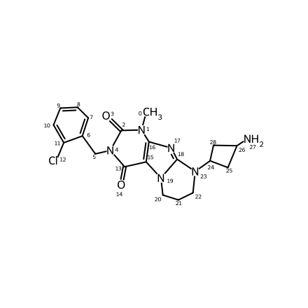 Cn1c(=O)n(Cc2ccccc2Cl)c(=O)c2c1nc1n2CCCN1C1CC(N)C1